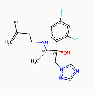 C=C(CC)CCN[C@@H](C)[C@@](O)(Cn1cncn1)c1ccc(F)cc1F